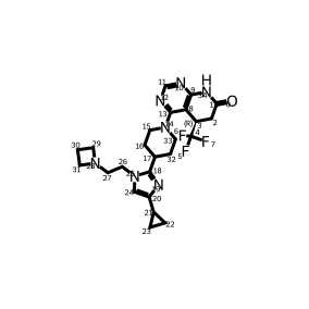 O=C1C[C@@H](C(F)(F)F)c2c(ncnc2N2CCC(c3nc(C4CC4)cn3CCN3CCC3)CC2)N1